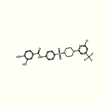 O=C(Nc1ccc(S(=O)(=O)N2CCN(c3cc(C(F)(F)F)cc(Cl)n3)CC2)cc1)c1ccc(O)c(O)c1